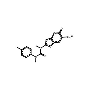 Cc1ccc(N(C)C(=O)N(C)c2cc3oc(=O)c(C(=O)O)cc3s2)cc1